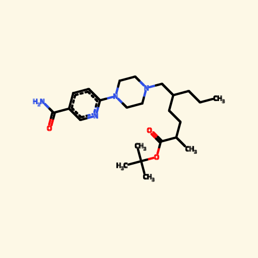 CCCC(CCC(C)C(=O)OC(C)(C)C)CN1CCN(c2ccc(C(N)=O)cn2)CC1